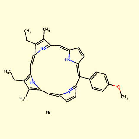 CCC1=C(C)c2cc3ccc([nH]3)c(-c3ccc(OC)cc3)c3nc(cc4[nH]c(cc1n2)c(CC)c4C)C=C3.[Ni]